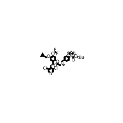 CN(CC(=O)O[C@@H](Cc1c(Cl)cncc1Cl)c1ccc(OC(F)F)c(OCC2CC2)c1)Cc1ccc(N(C(=O)OC(C)(C)C)S(C)(=O)=O)cc1